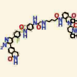 C=C1CCC(N(C)Cc2c(C=O)cccc2NC(=O)CCCCNCC(=O)Nc2ccc(N[S+]([O-])c3ccc(-c4cnc(N)c(-c5ccc6c(c5)CCNC6=O)c4)c(F)c3)cc2)C(=O)N1